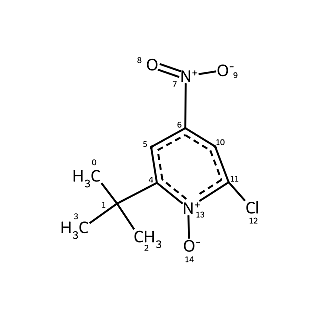 CC(C)(C)c1cc([N+](=O)[O-])cc(Cl)[n+]1[O-]